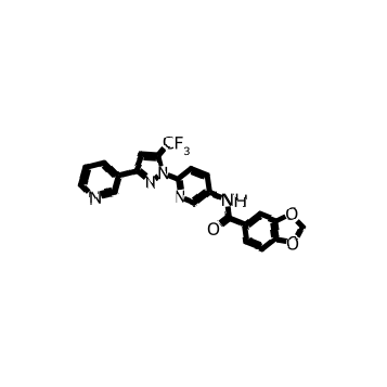 O=C(Nc1ccc(-n2nc(-c3cccnc3)cc2C(F)(F)F)nc1)c1ccc2c(c1)OCO2